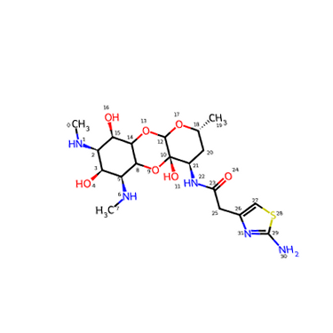 CN[C@@H]1[C@H](O)[C@H](NC)C2O[C@]3(O)C(OC2[C@@H]1O)O[C@H](C)C[C@H]3NC(=O)Cc1csc(N)n1